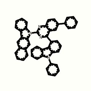 c1ccc(-c2ccc3nc(-n4c5ccccc5c5cc6ccccc6cc54)nc(-c4cccc5c4c4ccccc4n5-c4ccccc4)c3c2)cc1